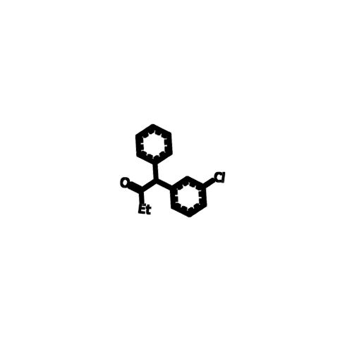 CCC(=O)C(c1ccccc1)c1cccc(Cl)c1